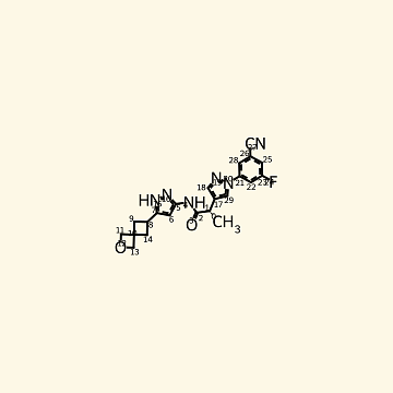 C[C@H](C(=O)Nc1cc(C2CC3(COC3)C2)[nH]n1)c1cnn(-c2cc(F)cc(C#N)c2)c1